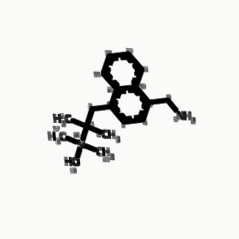 CC(C)(Cc1ccc(CN)c2ccccc12)[Si](C)(C)O